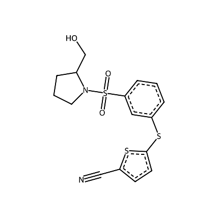 N#Cc1ccc(Sc2cccc(S(=O)(=O)N3CCCC3CO)c2)s1